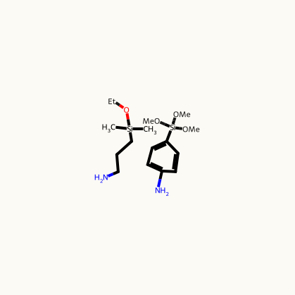 CCO[Si](C)(C)CCCN.CO[Si](OC)(OC)c1ccc(N)cc1